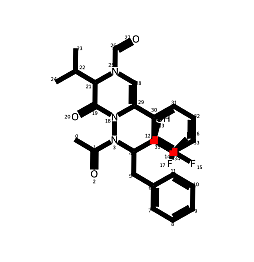 CC(=O)N(C(Cc1ccccc1)C(O)C(F)(F)F)N1C(=O)C(C(C)C)N(C=O)C=C1c1ccccc1